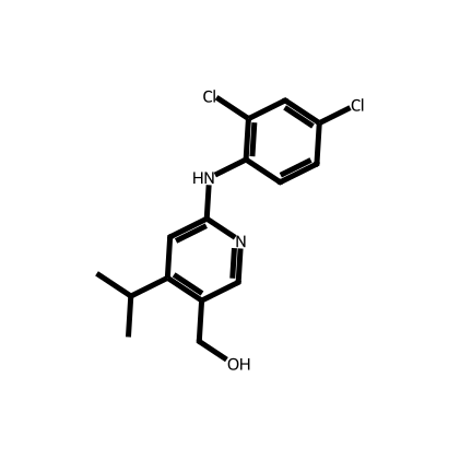 CC(C)c1cc(Nc2ccc(Cl)cc2Cl)ncc1CO